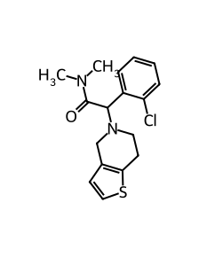 CN(C)C(=O)C(c1ccccc1Cl)N1CCc2sccc2C1